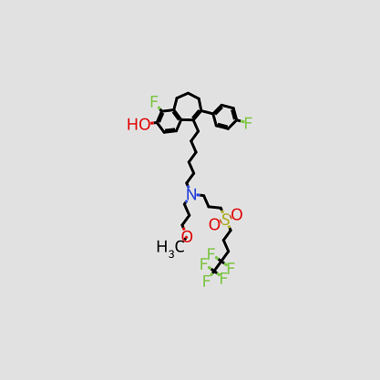 COCCCN(CCCCCCC1=C(c2ccc(F)cc2)CCCc2c1ccc(O)c2F)CCCS(=O)(=O)CCCC(F)(F)C(F)(F)F